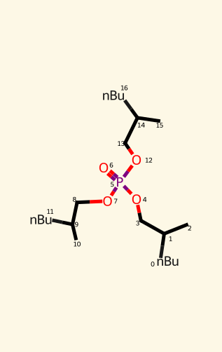 CCCCC(C)COP(=O)(OCC(C)CCCC)OCC(C)CCCC